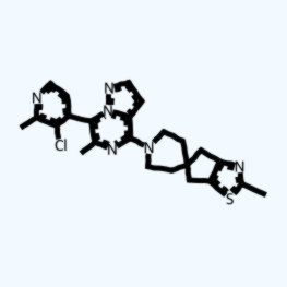 Cc1nc2c(s1)CC1(CCN(c3nc(C)c(-c4ccnc(C)c4Cl)n4nccc34)CC1)C2